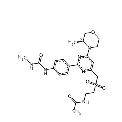 CNC(=O)Nc1ccc(-c2nc(CS(=O)(=O)CCNC(C)=O)cc(N3CCOC[C@@H]3C)n2)cc1